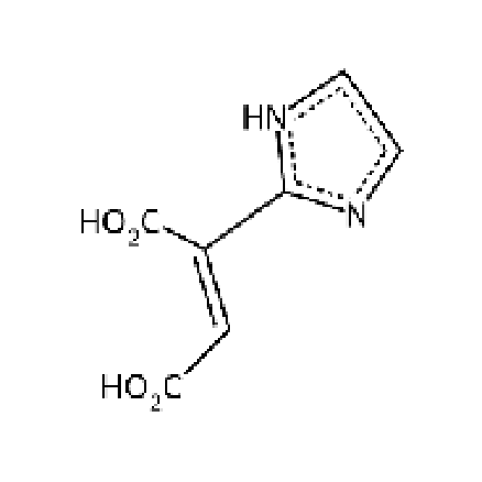 O=C(O)C=C(C(=O)O)c1ncc[nH]1